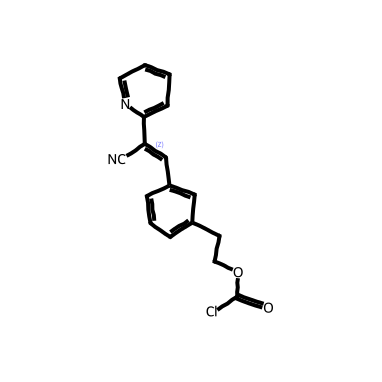 N#C/C(=C\c1cccc(CCOC(=O)Cl)c1)c1ccccn1